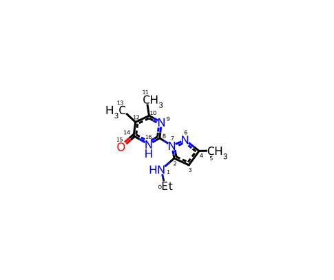 CCNc1cc(C)nn1-c1nc(C)c(C)c(=O)[nH]1